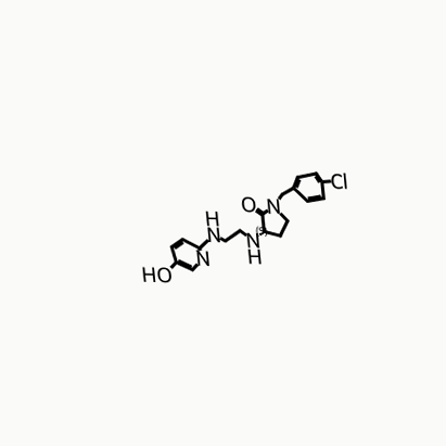 O=C1[C@@H](NCCNc2ccc(O)cn2)CCN1Cc1ccc(Cl)cc1